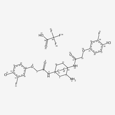 NC1CC2(NC(=O)COc3ccc(Cl)c(F)c3)CCC1(NC(=O)COc1ccc(Cl)c(F)c1)CC2.O=C(O)C(F)(F)F